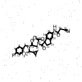 CC(C1CC1)N(Cc1ccc(F)cc1)C(=O)CN1C(=O)OC2(CCc3cc(NC(=O)CC#N)ccc32)C1=O